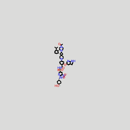 CC(=O)N1CCN(C2CC3(CCN(c4ccc(C(=O)NS(=O)(=O)c5cnc(NC[C@H]6CC[C@](C)(O)CC6)c([N+](=O)[O-])c5)c(Oc5cnc6[nH]ccc6c5)c4)CC3)C2)[C@@H](c2ccccc2C(C)C)C1